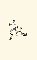 COC(=O)c1cc(Br)cnc1OC(F)F